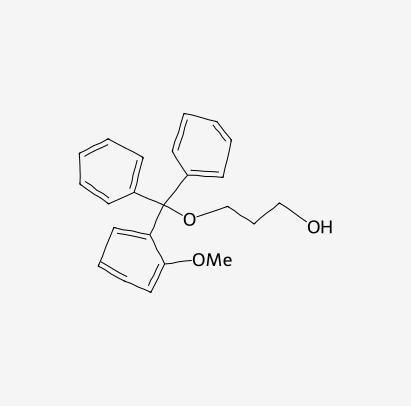 COc1ccccc1C(OCCCO)(c1ccccc1)c1ccccc1